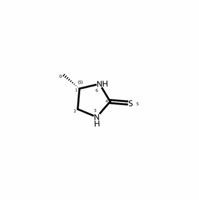 C[C@H]1CNC(=S)N1